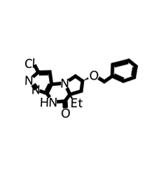 CC[C@@]12C[C@@H](OCc3ccccc3)CN1c1cc(Cl)nnc1NC2=O